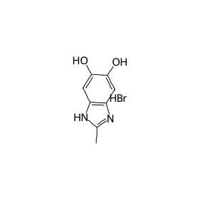 Br.Cc1nc2cc(O)c(O)cc2[nH]1